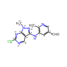 Cc1ncc(C=O)cc1Nc1nn(C)c2nc(Cl)ncc12